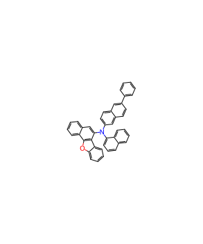 c1ccc(-c2ccc3cc(N(c4cccc5ccccc45)c4cc5ccccc5c5oc6ccccc6c45)ccc3c2)cc1